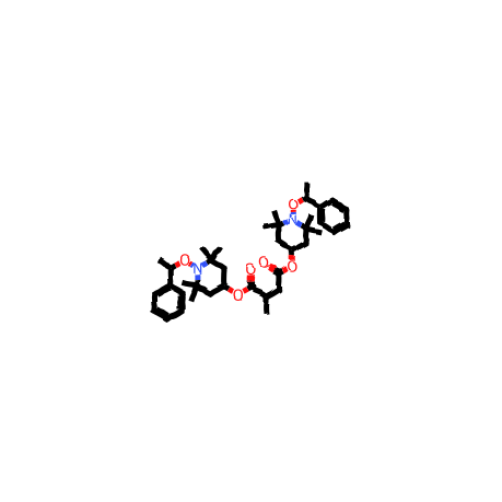 CC(CC(=O)OC1CC(C)(C)N(OC(C)c2ccccc2)C(C)(C)C1)C(=O)OC1CC(C)(C)N(OC(C)c2ccccc2)C(C)(C)C1